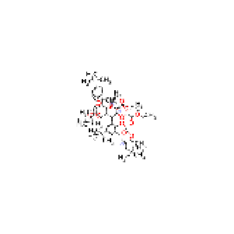 C/C=C\C(C)=C(\OCC(=O)OCC)C(c1cc(C(C)(C)C)cc(C/C=C/CC(C)(C)C)c1OCC(=O)OCC)C1CC(C(C)(C)C)CC(C2(C)Cc3cc(C(C)(C)C)cc2c3OCC(=O)OCC)C1OCC(=O)OCC